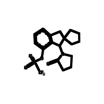 O=C1CCCN1C1c2c(cccc2OS(=O)(=O)C(F)(F)F)CC12CCCC2